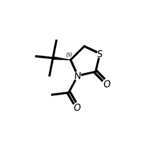 CC(=O)N1C(=O)SC[C@@H]1C(C)(C)C